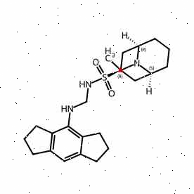 CCN1[C@@H]2CCC[C@H]1C[C@@H](S(=O)(=O)NCNc1c3c(cc4c1CCC4)CCC3)C2